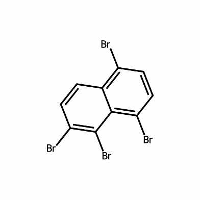 Brc1ccc2c(Br)ccc(Br)c2c1Br